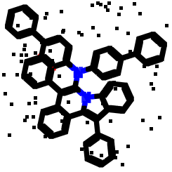 c1ccc(-c2ccc(N(c3ccc(-c4ccccc4)cc3)c3c(-c4ccccc4)c4ccccc4c4c(-c5ccccc5)c5ccccc5n34)cc2)cc1